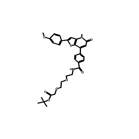 COc1ccc(-c2cc3c(s2)c(-c2ccc(C(=O)NCCOCCOCC(=O)OC(C)(C)C)cc2)cc(=O)n3C)cc1